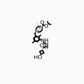 Cc1cc(CN2CCN(C(=O)OC(C)C)[C@@H](C)C2)c(C)c(Nc2nnc([C@H]3C[C@@H](O)C3)o2)c1